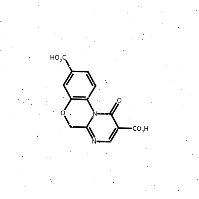 O=C(O)c1ccc2c(c1)OCc1ncc(C(=O)O)c(=O)n1-2